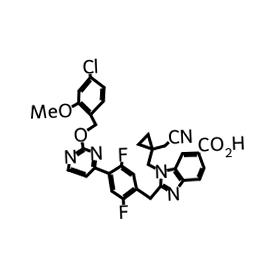 COc1cc(Cl)ccc1COc1nccc(-c2cc(F)c(Cc3nc4ccc(C(=O)O)cc4n3CC3(CC#N)CC3)cc2F)n1